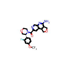 Nc1nc2cnc(C(=O)N3CCOC[C@H]3c3ccc(OC(F)(F)F)cc3F)cc2c2c1COC2